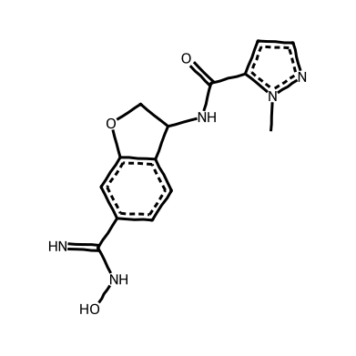 Cn1nccc1C(=O)NC1COc2cc(C(=N)NO)ccc21